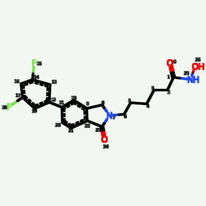 O=C(CCCCCN1Cc2cc(-c3cc(F)cc(F)c3)ccc2C1=O)NO